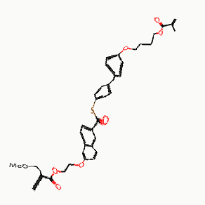 C=C(C)C(=O)OCCCCOc1ccc(-c2ccc(SC(=O)c3ccc4cc(OCCOC(=O)C(=C)COC)ccc4c3)cc2)cc1